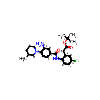 CC1CCCN(c2ccc(C(=O)Nc3ccc(F)cc3CC(=O)OC(C)(C)C)cc2N)C1